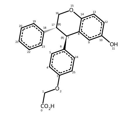 O=C(O)COc1ccc([C@@H]2c3cc(O)ccc3OC[C@H]2c2ccccc2)cc1